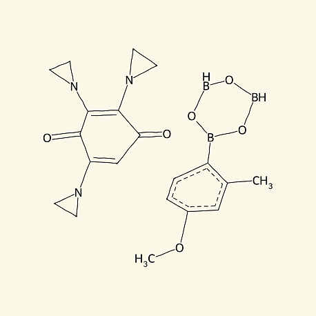 COc1ccc(B2OBOBO2)c(C)c1.O=C1C=C(N2CC2)C(=O)C(N2CC2)=C1N1CC1